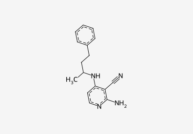 CC(CCc1ccccc1)Nc1ccnc(N)c1C#N